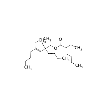 CCCCC(=CC(CC)(CCCC)COC(=O)C(CC)CCCC)CC